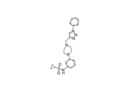 O=S(=O)(Nc1cccc(N2CCN(Cc3cn(-c4ccccc4)nn3)CC2)c1)C1CC1